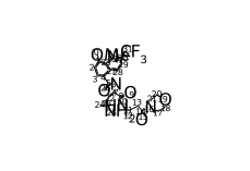 COc1ccc(-c2nc(C(=O)N[C@@H](C)CC(=O)N3CCOCC3)c([C@H](C)N)o2)c2ccc(C(F)(F)F)nc12